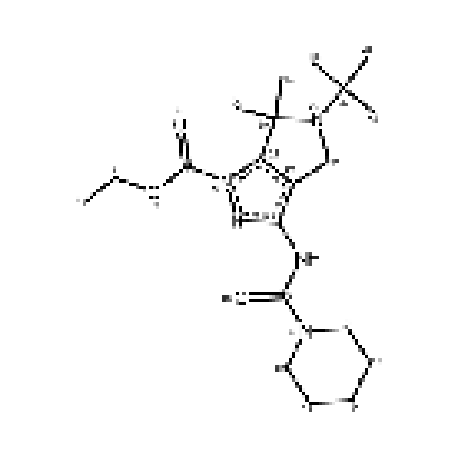 CCOC(=O)n1nc(NC(=O)N2CCCCC2)c2c1C(C)(C)N(C(C)(C)C)C2